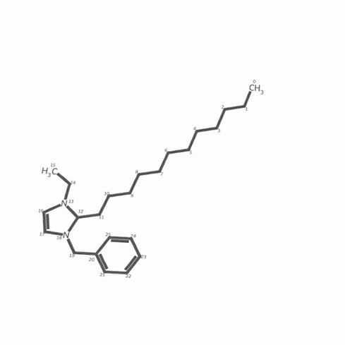 CCCCCCCCCCCCC1N(CC)C=CN1Cc1ccccc1